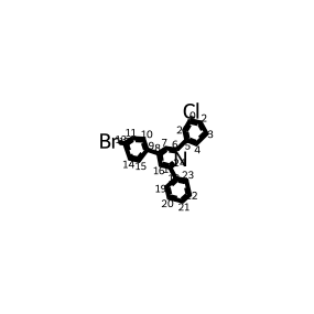 Clc1cccc(-c2cc(-c3ccc(Br)cc3)cc(-c3ccccc3)n2)c1